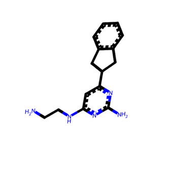 NCCNc1cc(C2Cc3ccccc3C2)nc(N)n1